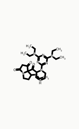 CCOC1CCN2C(=O)CC(=O)C12C(=O)C1CNCCN1c1nc(N(CC)CC)nc(N(CC)CC)n1